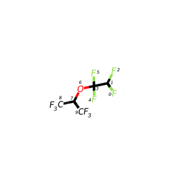 FC(F)C(F)(F)OC(C(F)(F)F)C(F)(F)F